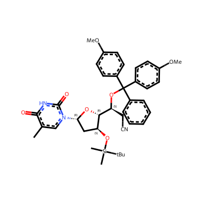 COc1ccc(C(O[C@@H](CC#N)[C@H]2O[C@@H](n3cc(C)c(=O)[nH]c3=O)C[C@@H]2O[Si](C)(C)C(C)(C)C)(c2ccccc2)c2ccc(OC)cc2)cc1